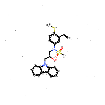 C=Cc1cc(N(CC(O)Cn2c3ccccc3c3ccccc32)S(C)(=O)=O)ccc1SC